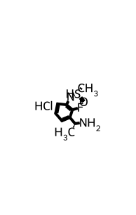 C[C@@H](N)c1cccc(N=[SH](C)=O)c1F.Cl